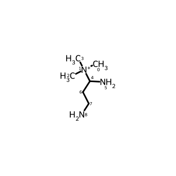 C[N+](C)(C)C(N)CCN